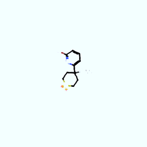 COC1(c2cccc(Br)n2)CCS(=O)(=O)CC1